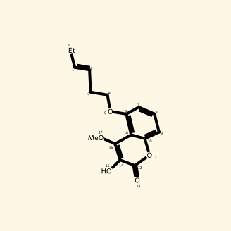 CC/C=C/CCOc1cccc2oc(=O)c(O)c(OC)c12